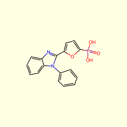 O=P(O)(O)c1ccc(-c2nc3ccccc3n2-c2ccccc2)o1